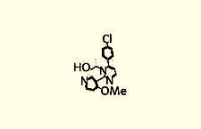 COc1ccncc1C1N=CC=C(c2ccc(Cl)cc2)N1[C@@H](C)CO